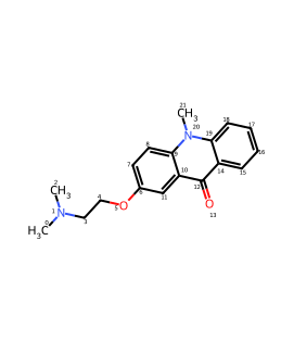 CN(C)CCOc1ccc2c(c1)c(=O)c1ccccc1n2C